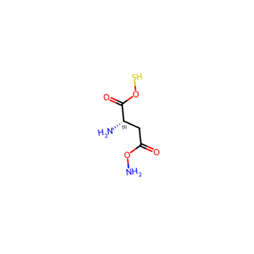 NOC(=O)C[C@H](N)C(=O)OS